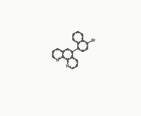 Brc1ccc(-c2cc3cccnc3c3ncccc23)c2ccccc12